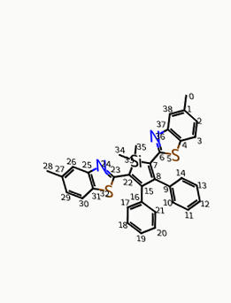 Cc1ccc2sc(C3=C(c4ccccc4)C(c4ccccc4)=C(c4nc5cc(C)ccc5s4)[Si]3(C)C)nc2c1